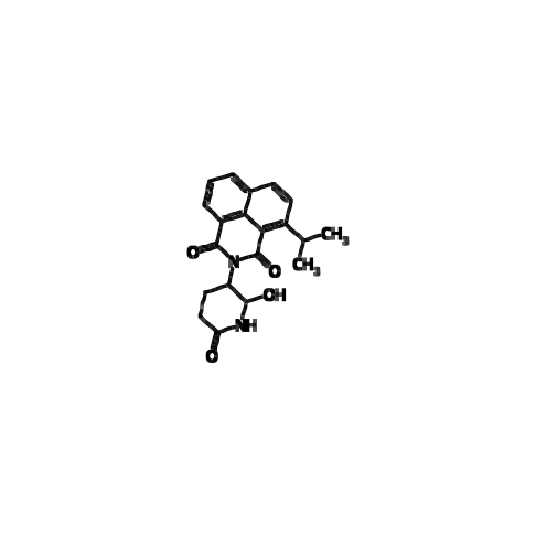 CC(C)c1ccc2cccc3c2c1C(=O)N(C1CCC(=O)NC1O)C3=O